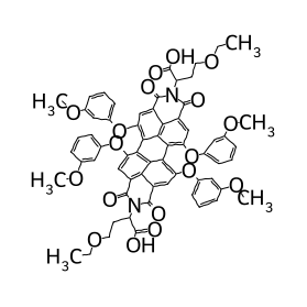 CCOCCC(C(=O)O)N1C(=O)c2cc(Oc3cccc(OC)c3)c3c4c(Oc5cccc(OC)c5)cc5c6c(cc(Oc7cccc(OC)c7)c(c7c(Oc8cccc(OC)c8)cc(c2c37)C1=O)c64)C(=O)N(C(CCOCC)C(=O)O)C5=O